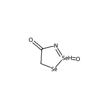 O=C1C[Se][SeH](=O)=N1